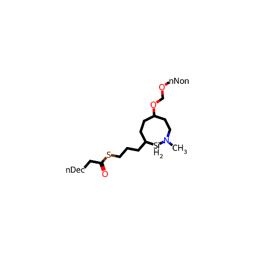 CCCCCCCCCCCC(=O)SCCCC1CCC(OCOCCCCCCCCC)CCN(C)[SiH2]1